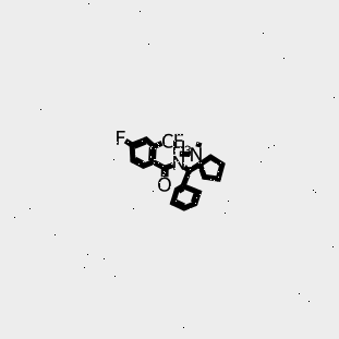 CN(C)C1(C(NC(=O)c2ccc(F)cc2C(F)(F)F)c2ccccc2)CCCC1